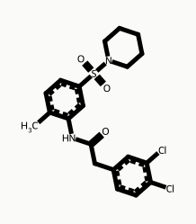 Cc1ccc(S(=O)(=O)N2CCCCC2)cc1NC(=O)Cc1ccc(Cl)c(Cl)c1